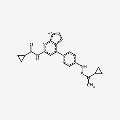 CN(SNc1ccc(-c2cc(NC(=O)C3CC3)nc3[nH]ccc23)cc1)C1CC1